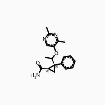 Cc1ncc(OC(C)[C@@]2(c3ccccc3)C[C@H]2C(N)=O)c(C)n1